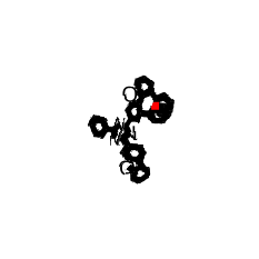 c1ccc(-c2nc(-c3ccc4c(c3)oc3ccccc34)nc(-c3cc(-c4ccccc4)c4c(c3)oc3cccc(-c5ccccc5)c34)n2)cc1